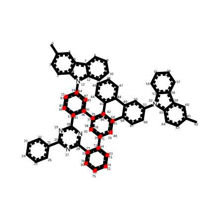 Cc1ccc2c(c1)c1ccccc1n2-c1ccc(-c2nc(-c3ccccc3)nc(-c3ccccc3)n2)c(-c2ccccc2-c2ccccc2-c2cc(-n3c4ccccc4c4cc(C)ccc43)ccc2-c2nc(-c3ccccc3)nc(-c3ccccc3)n2)c1